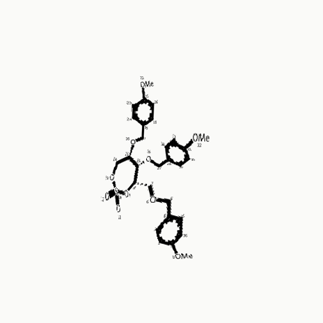 COc1ccc(COC[C@@H]2OS(=O)(=O)OC[C@@H](OCc3ccc(OC)cc3)[C@@H]2OCc2ccc(OC)cc2)cc1